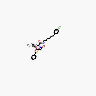 C=CCOC(=O)[C@]1(SCc2ccccc2)CC(=O)N1[C@@H](C)C(=O)NCCCCCCc1ccc(Cl)cc1